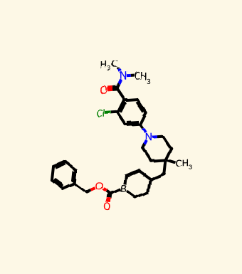 CN(C)C(=O)c1ccc(N2CCC(C)(CC3CCB(C(=O)OCc4ccccc4)CC3)CC2)cc1Cl